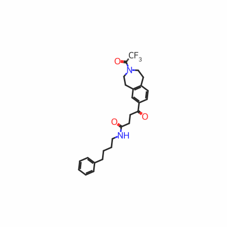 O=C(CCC(=O)c1ccc2c(c1)CCN(C(=O)C(F)(F)F)CC2)NCCCCc1ccccc1